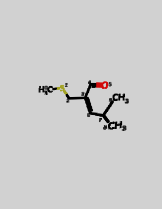 CSCC(C=O)=CC(C)C